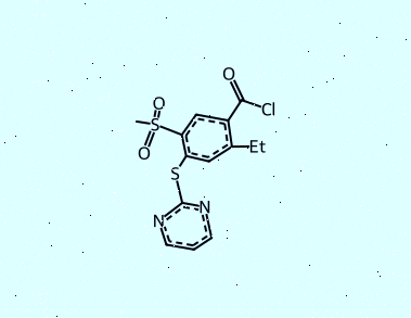 CCc1cc(Sc2ncccn2)c(S(C)(=O)=O)cc1C(=O)Cl